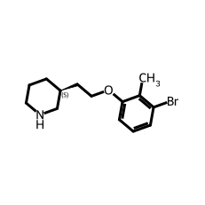 Cc1c(Br)cccc1OCC[C@@H]1CCCNC1